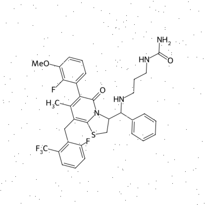 COc1cccc(-c2c(C)c(Cc3c(F)cccc3C(F)(F)F)c3n(c2=O)C(C(NCCCNC(N)=O)c2ccccc2)CS3)c1F